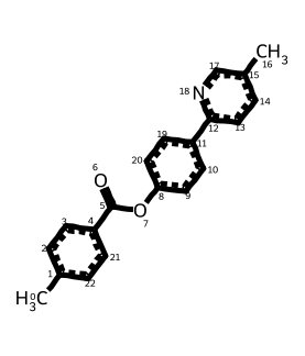 Cc1ccc(C(=O)Oc2ccc(-c3ccc(C)cn3)cc2)cc1